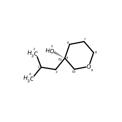 CC(C)C[C@@]1(O)CCCOC1